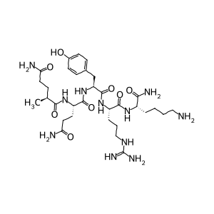 C[C@@H](CCC(N)=O)C(=O)N[C@@H](CCC(N)=O)C(=O)N[C@@H](Cc1ccc(O)cc1)C(=O)N[C@@H](CCCNC(=N)N)C(=O)N[C@@H](CCCCN)C(N)=O